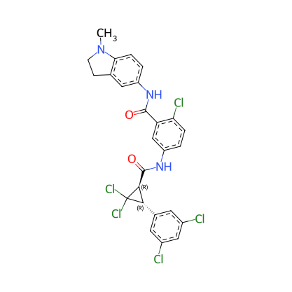 CN1CCc2cc(NC(=O)c3cc(NC(=O)[C@H]4[C@H](c5cc(Cl)cc(Cl)c5)C4(Cl)Cl)ccc3Cl)ccc21